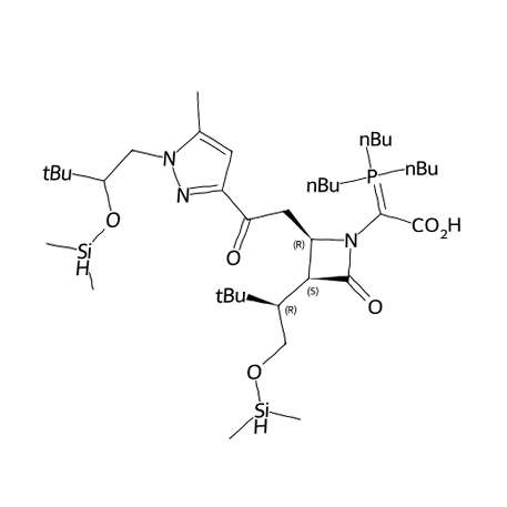 CCCCP(CCCC)(CCCC)=C(C(=O)O)N1C(=O)[C@@H]([C@@H](CO[SiH](C)C)C(C)(C)C)[C@H]1CC(=O)c1cc(C)n(CC(O[SiH](C)C)C(C)(C)C)n1